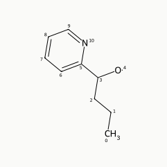 CCCC([O])c1ccccn1